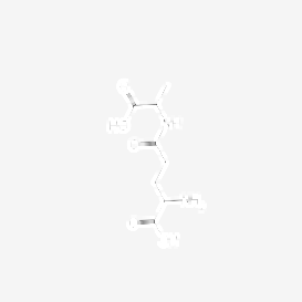 CC(NC(=O)CCC(N)C(=O)O)C(=O)O